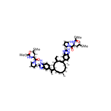 C/C=C1\C=C(\c2ccc3[nH]c([C@@H]4CCCN4C(=O)[C@H](CCSC)NC(=O)OC)nc3c2)[C@H](C)CC[C@@H](C)/C=C\C(=C(/C)c2ccc3[nH]c([C@@H]4CCCN4C(=O)[C@H](CCSC)NC(=O)OC)nc3c2)CC1